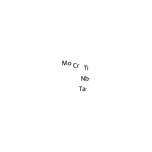 [Cr].[Mo].[Nb].[Ta].[Ti]